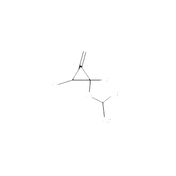 C=C1C(Cl)C1(OC(C(F)(F)F)C(F)(F)F)C(F)(F)F